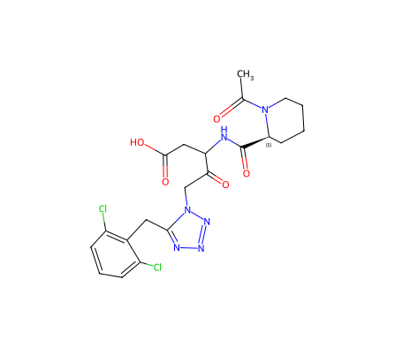 CC(=O)N1CCCC[C@H]1C(=O)NC(CC(=O)O)C(=O)Cn1nnnc1Cc1c(Cl)cccc1Cl